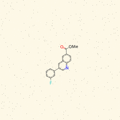 COC(=O)c1ccc2ncc(-c3cccc(F)c3)cc2c1